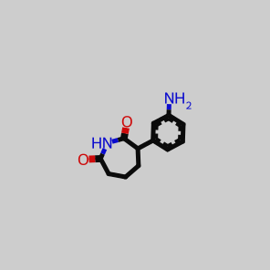 Nc1cccc(C2CCCC(=O)NC2=O)c1